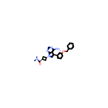 CN(C)C(=O)[C@H]1C[C@H](n2cc(-c3cccc(OCc4ccccc4)c3)c3c(N)ncnc32)C1